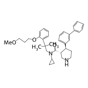 COCCCOc1ccccc1C(C)(C)CN(C(=O)[C@H]1CNCC[C@@H]1c1cccc(-c2ccccc2)c1)C1CC1